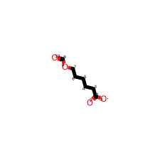 [O]C(=O)CCCCCOC=O